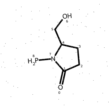 O=C1CCC(CO)N1P